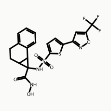 O=C(NO)C1(NS(=O)(=O)c2ccc(-c3cc(C(F)(F)F)on3)s2)C2CCc3ccccc3C21